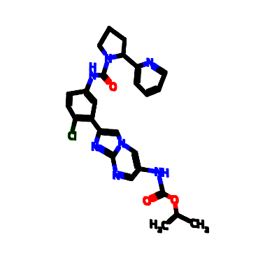 CC(C)OC(=O)Nc1cnc2nc(-c3cc(NC(=O)N4CCCC4c4ccccn4)ccc3Cl)cn2c1